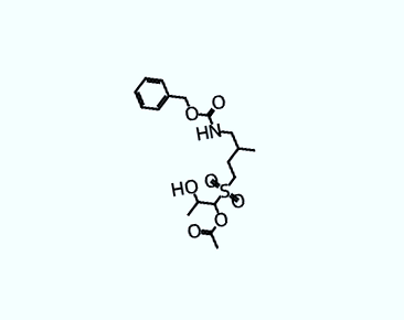 CC(=O)OC(C(C)O)S(=O)(=O)CCC(C)CNC(=O)OCc1ccccc1